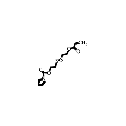 C=CC(=O)OCCSSCCOC(=O)n1cccc1